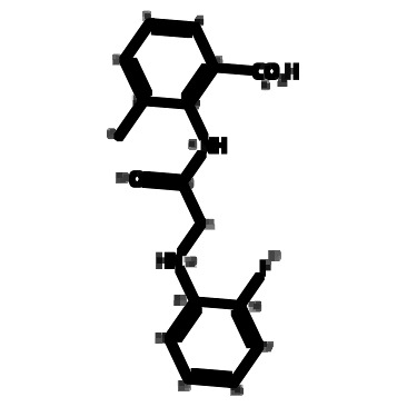 Cc1cccc(C(=O)O)c1NC(=O)CNc1ccccc1F